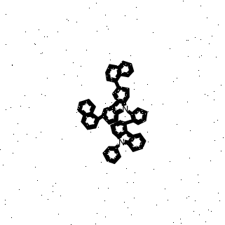 c1ccc(-n2c3ccccc3c3c(-c4ccccc4-n4c5ccc(-c6cccc7ccccc67)cc5c5cc(-c6cccc7ccccc67)ccc54)cccc32)cc1